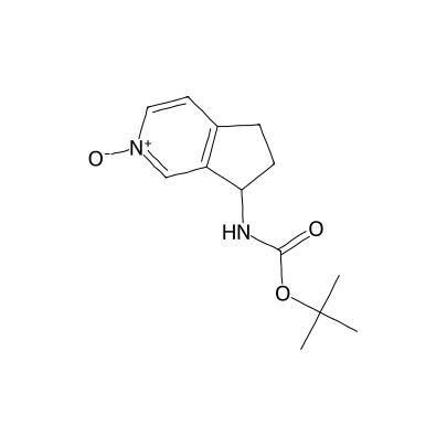 CC(C)(C)OC(=O)NC1CCc2cc[n+]([O-])cc21